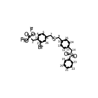 O=P(Cc1ccc(CSCc2ccc(CS(=O)(=O)c3ccccc3)cc2)cc1Br)(OF)OF